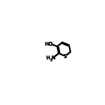 NC1=C(O)C=CCS1